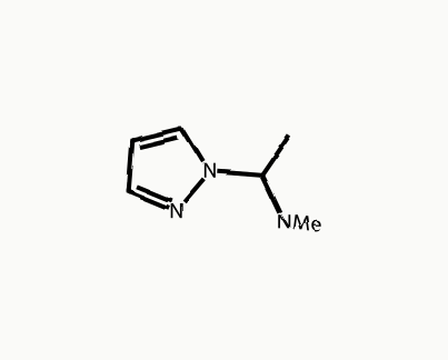 CNC(C)n1cccn1